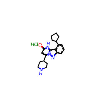 Cl.O=c1cc(C2CCNCC2)n2nc3cccc(C4CCCC4)c3c2[nH]1